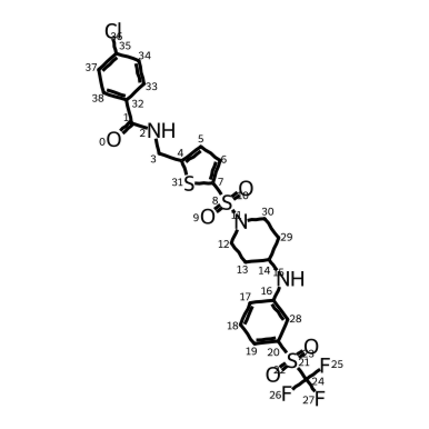 O=C(NCc1ccc(S(=O)(=O)N2CCC(Nc3cccc(S(=O)(=O)C(F)(F)F)c3)CC2)s1)c1ccc(Cl)cc1